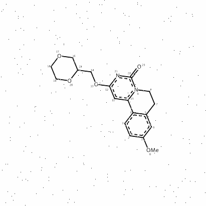 COc1ccc2c(c1)CCn1c-2cc(OCC2COCCO2)nc1=O